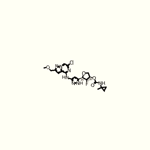 COCc1cc2c(Nc3cc([C@H]4OC[C@@H](OC(=O)NC5(C)CC5)[C@H]4F)[nH]n3)nc(Cl)cn2n1